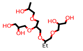 CCC(COCC(O)CO)OCC(COCC(C)O)OCC(O)CO